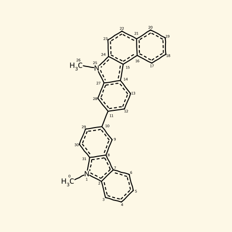 Cn1c2ccccc2c2cc(-c3ccc4c5c6ccccc6ccc5n(C)c4c3)ccc21